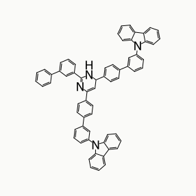 C1=C(c2ccc(-c3cccc(-n4c5ccccc5c5ccccc54)c3)cc2)N=C(c2cccc(-c3ccccc3)c2)NC1c1ccc(-c2cccc(-n3c4ccccc4c4ccccc43)c2)cc1